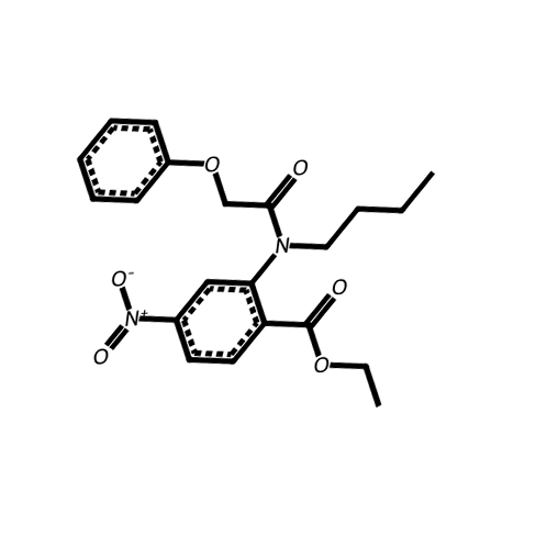 CCCCN(C(=O)COc1ccccc1)c1cc([N+](=O)[O-])ccc1C(=O)OCC